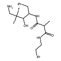 CC(C)CCNC(=O)C(C)C(=O)NC(CC(C)C)C(O)C(F)(F)CN